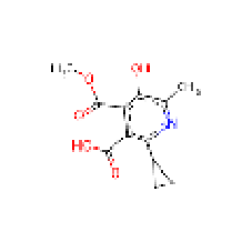 COC(=O)c1c(O)c(C)nc(C2CC2)c1C(=O)O